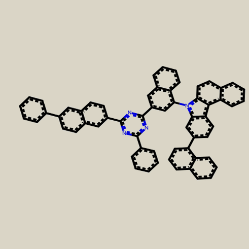 c1ccc(-c2ccc3cc(-c4nc(-c5ccccc5)nc(-c5cc(-n6c7cc(-c8cccc9ccccc89)ccc7c7c8ccccc8ccc76)c6ccccc6c5)n4)ccc3c2)cc1